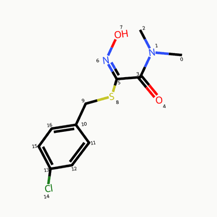 CN(C)C(=O)C(=NO)SCc1ccc(Cl)cc1